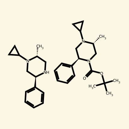 C[C@@H]1CN(C(=O)OC(C)(C)C)[C@@H](c2ccccc2)CN1C1CC1.C[C@@H]1CN[C@@H](c2ccccc2)CN1C1CC1